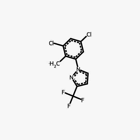 [CH2]c1c(Cl)cc(Cl)cc1-n1ccc(C(F)(F)F)n1